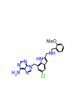 COc1ccccc1CNCc1cc2cc(Cl)cc(Cn3cnc4c(N)ncnc43)c2[nH]1